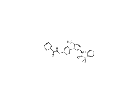 Cc1ccc(NC(=O)C2(c3ccccc3)CC2)cc1-c1ccc(CNC(=O)c2ccccc2)cc1